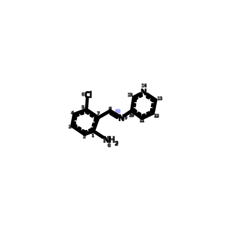 Nc1cccc(Cl)c1/C=N/c1cccnc1